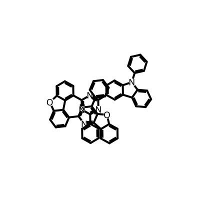 c1ccc(-c2nc(-c3ccc4c(c3)c3ccccc3n4-c3ccccc3)nc(-c3cccc4oc5cccc(-c6nc(-c7ccccc7)c7oc8ccccc8c7n6)c5c34)n2)cc1